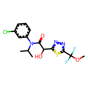 COC(F)(F)c1nnc(C(O)C(=O)N(c2cccc(Cl)c2)C(C)C)s1